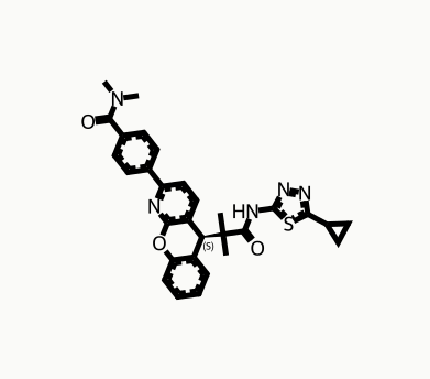 CN(C)C(=O)c1ccc(-c2ccc3c(n2)Oc2ccccc2[C@@H]3C(C)(C)C(=O)Nc2nnc(C3CC3)s2)cc1